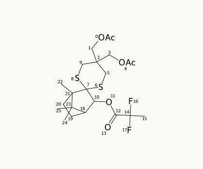 CC(=O)OCC1(COC(C)=O)CSC2(SC1)C(OC(=O)C(C)(F)F)C1CCC2(C)C1(C)C